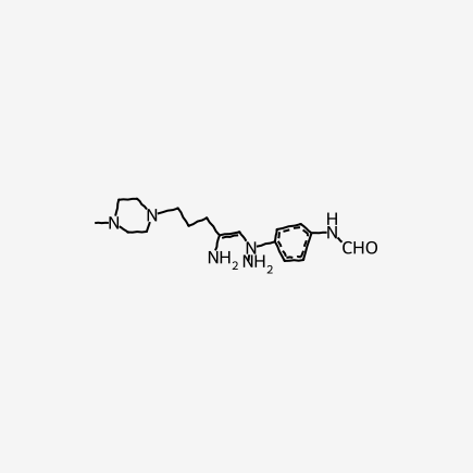 CN1CCN(CCC/C(N)=C/N(N)c2ccc(NC=O)cc2)CC1